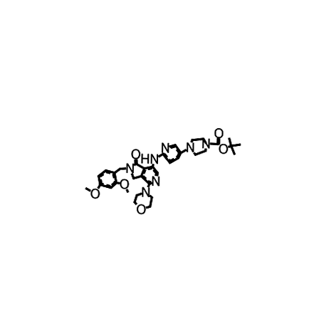 COc1ccc(CN2Cc3c(N4CCOCC4)ncc(Nc4ccc(N5CCN(C(=O)OC(C)(C)C)CC5)cn4)c3C2=O)c(OC)c1